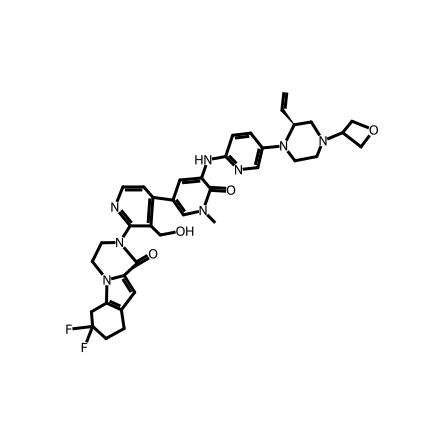 C=C[C@H]1CN(C2COC2)CCN1c1ccc(Nc2cc(-c3ccnc(N4CCn5c(cc6c5CC(F)(F)CC6)C4=O)c3CO)cn(C)c2=O)nc1